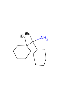 CCC(C)C1(C(N)(C(C)CC)C2CCCCC2)CCCCC1